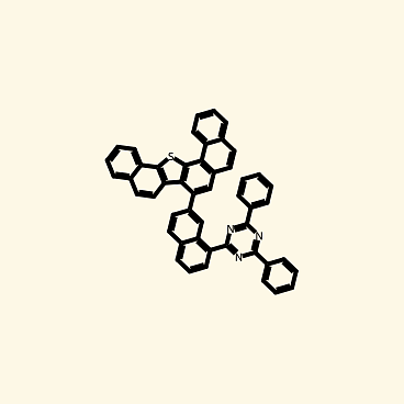 c1ccc(-c2nc(-c3ccccc3)nc(-c3cccc4ccc(-c5cc6ccc7ccccc7c6c6sc7c8ccccc8ccc7c56)cc34)n2)cc1